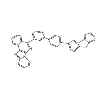 c1cc(-c2ccc(-c3ccc4c(c3)-c3ccccc3C4)cc2)cc(-c2nc3c(nc4ccccn43)c3ccccc23)c1